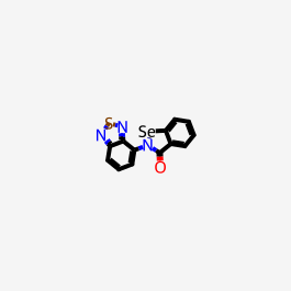 O=c1c2ccccc2[se]n1-c1cccc2nsnc12